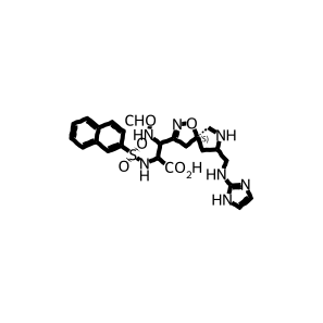 O=CNC(C1=NO[C@]2(CNC(CNc3ncc[nH]3)C2)C1)C(NS(=O)(=O)c1ccc2ccccc2c1)C(=O)O